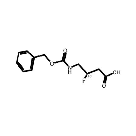 O=C(O)C[C@@H](F)CNC(=O)OCc1ccccc1